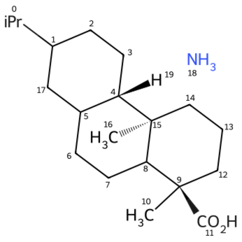 CC(C)C1CC[C@H]2C(CCC3[C@](C)(C(=O)O)CCC[C@@]32C)C1.N